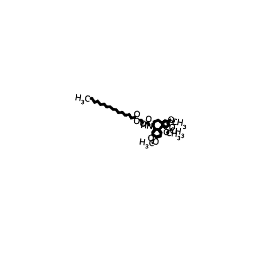 CCCCCCCCCCCCCCCC(=O)OCOC(=O)N[C@H]1CCc2cc(OC)c(OC)c(OC)c2-c2ccc(OC)c(=O)cc21